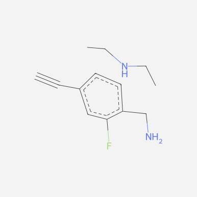 C#Cc1ccc(CN)c(F)c1.CCNCC